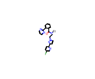 CCN(CCn1ccc(-c2ccc(F)cn2)n1)C(=O)c1ccccc1-c1ncccn1